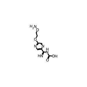 N=C(NC(=O)O)c1cnc(OCCON)cn1